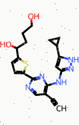 C#Cc1cnc(-c2ccc(C(O)CCCO)s2)nc1Nc1cc(C2CC2)[nH]n1